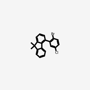 CC1(C)c2ccccc2-c2c(-c3cc(Cl)ccc3Br)cccc21